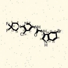 O=C(Nc1cnc(N2CCC(F)(F)CC2)c(Cl)c1)Nc1c[nH]c2ccc(Br)cc12